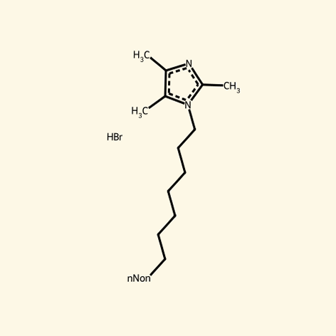 Br.CCCCCCCCCCCCCCCCn1c(C)nc(C)c1C